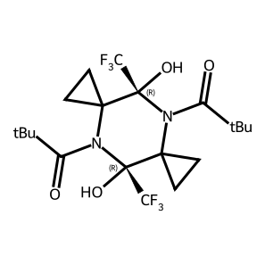 CC(C)(C)C(=O)N1C2(CC2)[C@@](O)(C(F)(F)F)N(C(=O)C(C)(C)C)C2(CC2)[C@@]1(O)C(F)(F)F